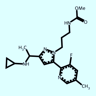 COC(=O)NCCCn1nc(C(C)NC2CC2)cc1-c1ncc(C)cc1F